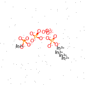 O=P([O-])([O-])[O-].O=P([O-])([O-])[O-].O=P([O-])([O-])[O-].[In+3].[In+3].[In+3].[In+3].[In+3].[O-2].[O-2].[O-2]